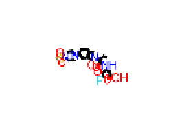 CCC(C(=O)NC(CC(=O)O)C(=O)CF)N1Cc2ccc(N3CCN(S(C)(=O)=O)CC3)cc2C1=O